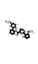 COc1cccc(F)c1-c1nccc(C(=O)Nc2ccccc2C2CCCC(N)C2)n1